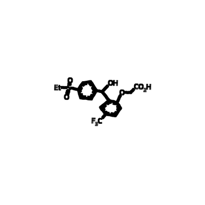 CCS(=O)(=O)c1ccc(C(O)c2cc(C(F)(F)F)ccc2OCC(=O)O)cc1